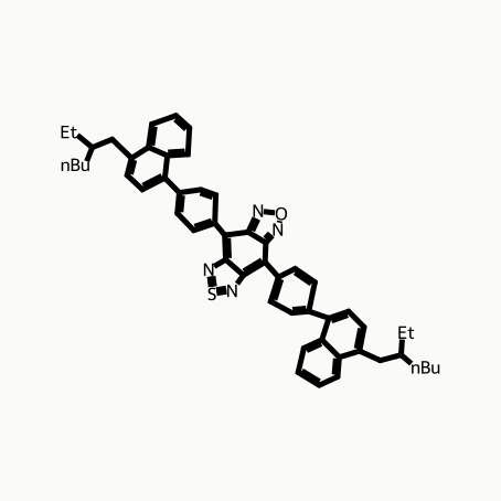 CCCCC(CC)Cc1ccc(-c2ccc(-c3c4c(c(-c5ccc(-c6ccc(CC(CC)CCCC)c7ccccc67)cc5)c5nonc35)N=S=N4)cc2)c2ccccc12